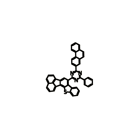 c1ccc(-c2nc(-c3ccc4c(ccc5ccccc54)c3)nc(-c3cc4c(c5sc6ccccc6c35)-c3cccc5cccc-4c35)n2)cc1